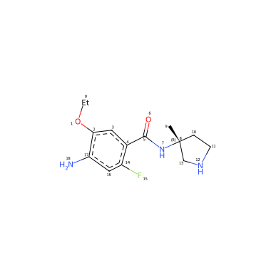 CCOc1cc(C(=O)N[C@]2(C)CCNC2)c(F)cc1N